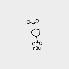 CCCCOC(=O)[C@H]1CC[C@H](C(=O)Cl)CC1